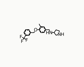 Cc1cc(CNC2CCNC2)ccc1OCc1cccc(C(F)(F)F)c1